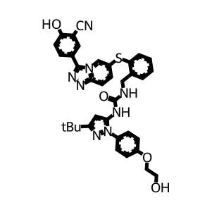 CC(C)(C)c1cc(NC(=O)NCc2ccccc2Sc2ccc3nnc(-c4ccc(O)c(C#N)c4)n3c2)n(-c2ccc(OCCO)cc2)n1